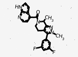 CC1c2nn(C)c(-c3cc(F)cc(F)c3)c2CCN1C(=O)c1ccnc2[nH]ccc12